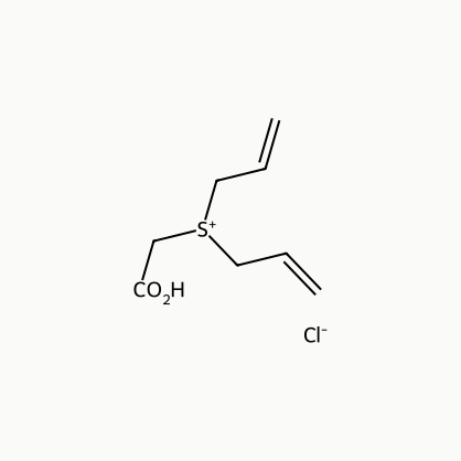 C=CC[S+](CC=C)CC(=O)O.[Cl-]